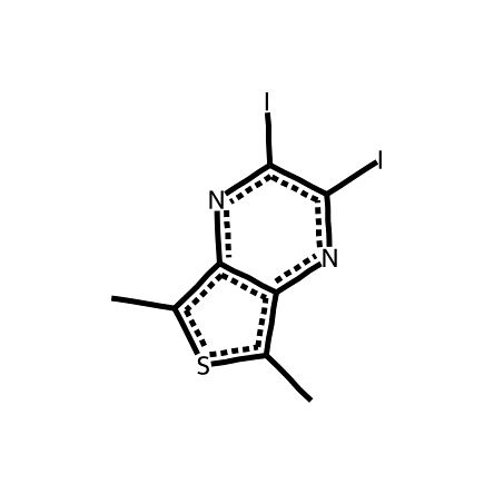 Cc1sc(C)c2nc(I)c(I)nc12